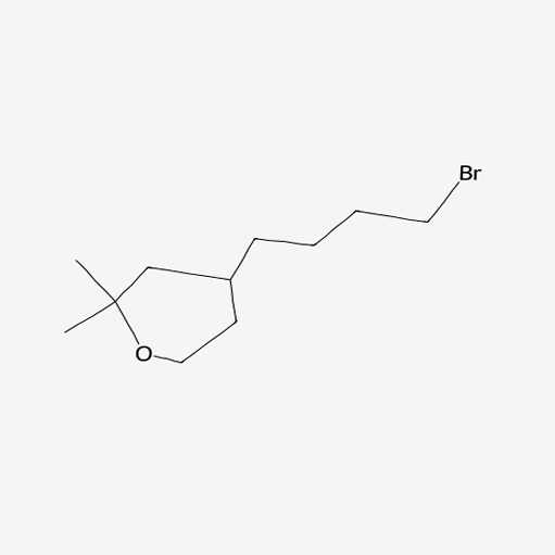 CC1(C)CC(CCCCBr)CCO1